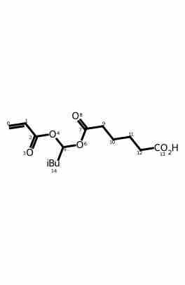 C=CC(=O)OC(OC(=O)CCCCC(=O)O)C(C)CC